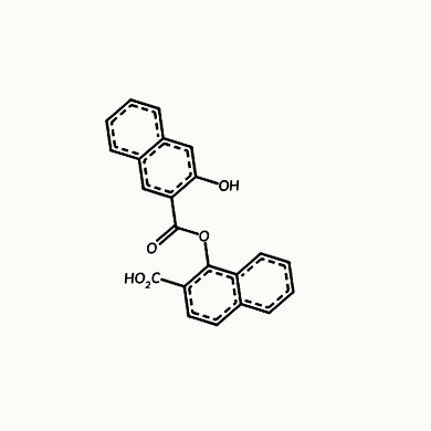 O=C(Oc1c(C(=O)O)ccc2ccccc12)c1cc2ccccc2cc1O